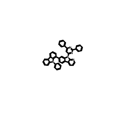 c1ccc(-c2cc(-n3c4cc(-c5cccc6c7ccccc7n(-c7ccccc7)c56)ccc4c4cccnc43)nc(-c3ccccc3)n2)cc1